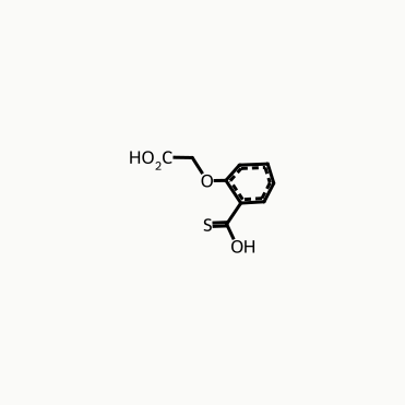 O=C(O)COc1ccccc1C(O)=S